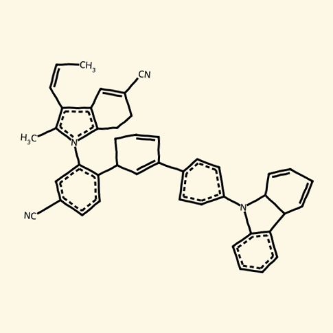 C/C=C\c1c2c(n(-c3cc(C#N)ccc3C3C=C(c4ccc(N5c6ccccc6C6C=CC=CC65)cc4)C=CC3)c1C)CCC(C#N)=C2